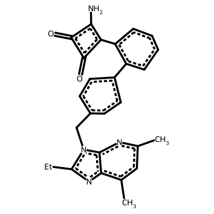 CCc1nc2c(C)cc(C)nc2n1Cc1ccc(-c2ccccc2-c2c(N)c(=O)c2=O)cc1